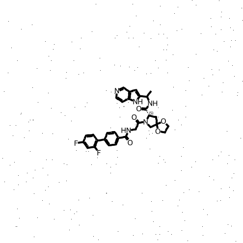 CC(NC(=O)[C@@H]1CC2(CN1C(=O)CNC(=O)c1ccc(-c3ccc(F)cc3F)cc1)OCCO2)c1cc2cnccc2[nH]1